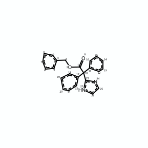 O=C(OCc1ccccc1)C(c1ccccc1)(c1ccccc1)c1ncc[nH]1